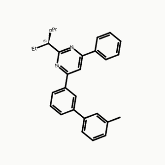 CCC[C@H](CC)c1nc(-c2ccccc2)cc(-c2cccc(-c3cccc(C)c3)c2)n1